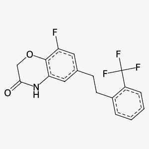 O=C1COc2c(F)cc(CCc3ccccc3C(F)(F)F)cc2N1